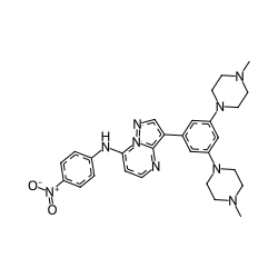 CN1CCN(c2cc(-c3cnn4c(Nc5ccc([N+](=O)[O-])cc5)ccnc34)cc(N3CCN(C)CC3)c2)CC1